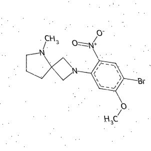 COc1cc(N2CC3(CCCN3C)C2)c([N+](=O)[O-])cc1Br